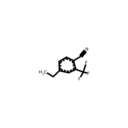 [CH2]Cc1ccc(C#N)c(C(F)(F)F)c1